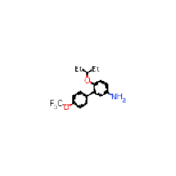 CCC(CC)Oc1ccc(N)cc1-c1ccc(OC(F)(F)F)cc1